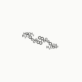 CC(C)(O)c1ccc(OCC(=O)Oc2ccc3cccc(-c4c(OC(=O)COc5ccc(C(C)(C)O)cc5)ccc5ccccc45)c3c2)cc1